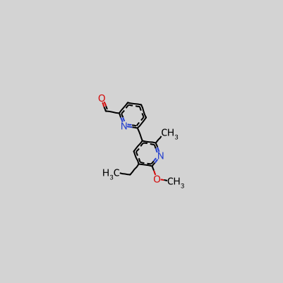 CCc1cc(-c2cccc(C=O)n2)c(C)nc1OC